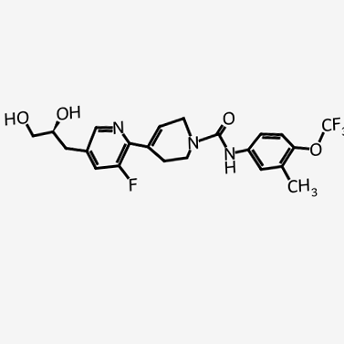 Cc1cc(NC(=O)N2CC=C(c3ncc(C[C@H](O)CO)cc3F)CC2)ccc1OC(F)(F)F